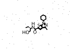 CC[C@H](CO)NC(=O)c1cc2c(C)nn(C3CCCCC3)c2s1